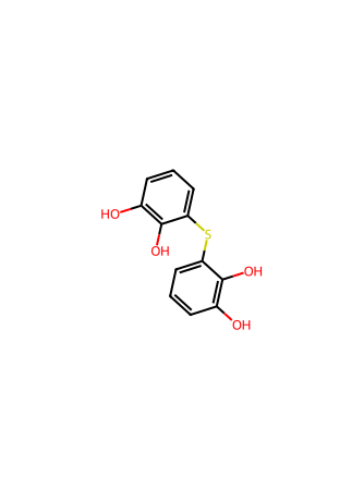 Oc1cccc(Sc2cccc(O)c2O)c1O